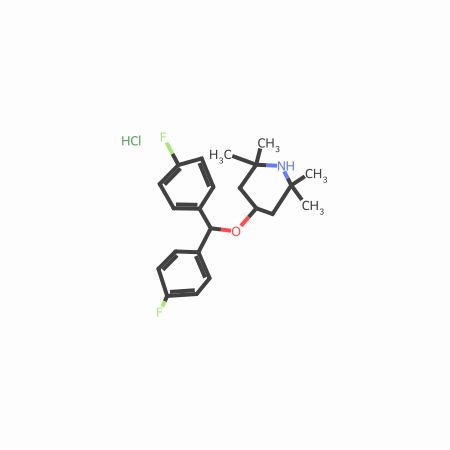 CC1(C)CC(OC(c2ccc(F)cc2)c2ccc(F)cc2)CC(C)(C)N1.Cl